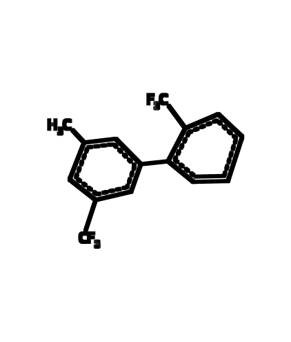 Cc1cc(-c2ccccc2C(F)(F)F)cc(C(F)(F)F)c1